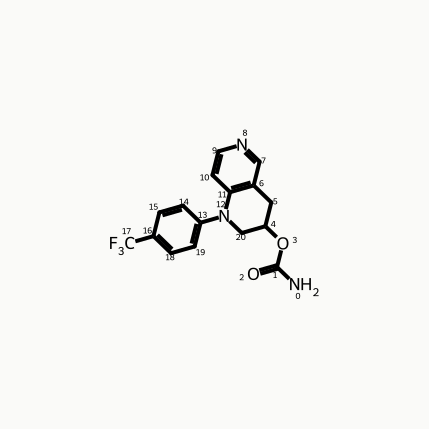 NC(=O)OC1Cc2cnccc2N(c2ccc(C(F)(F)F)cc2)C1